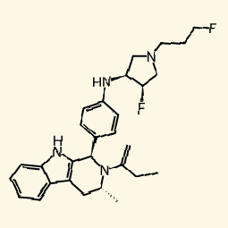 C=C(CC)N1[C@H](c2ccc(N[C@H]3CN(CCCF)C[C@H]3F)cc2)c2[nH]c3ccccc3c2C[C@H]1C